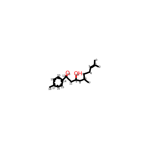 CC(C)=CCCC(C)CC(O)CC(=O)c1ccc(C)cc1